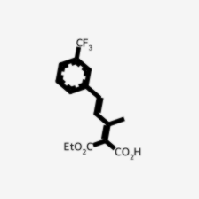 CCOC(=O)/C(C(=O)O)=C(C)\C=C\c1cccc(C(F)(F)F)c1